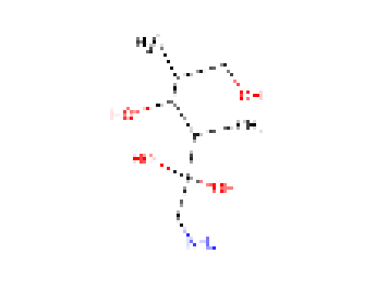 CC(CO)C(O)C(C)C(O)(O)CN